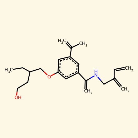 C=CC(=C)CNC(=C)c1cc(OCC(CC)CCO)cc(C(=C)C)c1